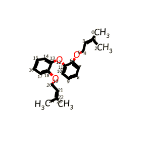 CC(C)=CCOc1ccccc1Oc1ccccc1OCC=C(C)C